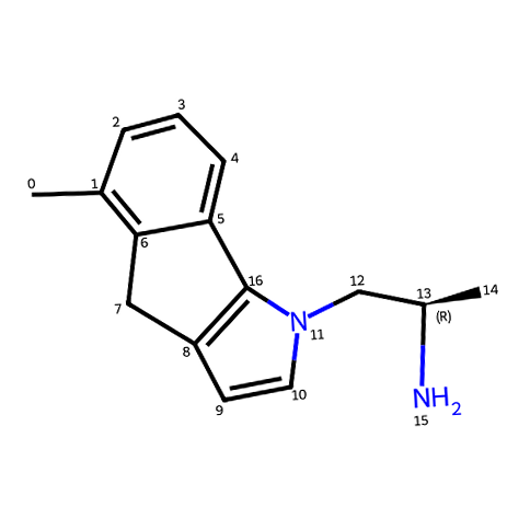 Cc1cccc2c1Cc1ccn(C[C@@H](C)N)c1-2